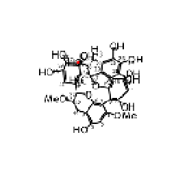 COc1cc(O)c2c(c1-c1c(O)cc(O)cc1O[C@](C)(c1cc(O)c(O)c(O)c1)[C@@H](C)O)O[C@H](c1cc(O)c(O)c(O)c1)[C@H](OC)C2